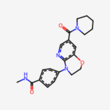 CNC(=O)c1ccc(N2CCOc3cc(C(=O)N4CCCCC4)cnc32)cc1